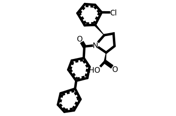 O=C(O)[C@@H]1CC[C@H](c2ccccc2Cl)N1C(=O)c1ccc(-c2ccccc2)cc1